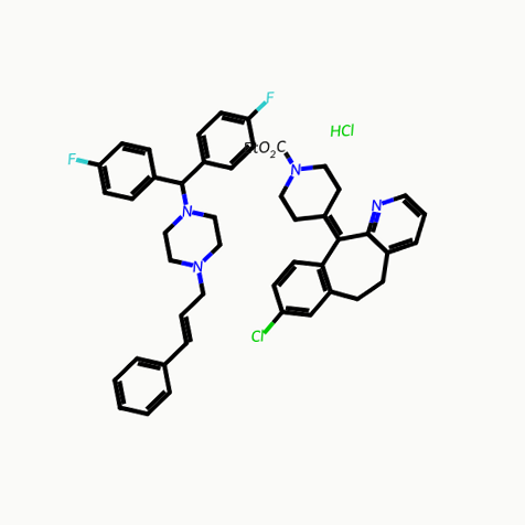 CCOC(=O)N1CCC(=C2c3ccc(Cl)cc3CCc3cccnc32)CC1.Cl.Fc1ccc(C(c2ccc(F)cc2)N2CCN(C/C=C/c3ccccc3)CC2)cc1